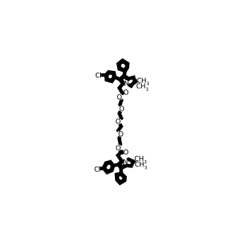 CC1(C)Cc2c(-c3ccccc3)c(-c3ccc(Cl)cc3)c(CC(=O)OCCOCCOCCOCCOC(=O)Cc3c(-c4ccc(Cl)cc4)c(-c4ccccc4)c4n3CC(C)(C)C4)n2C1